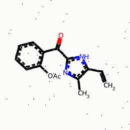 C=Cc1[nH]c(C(=O)c2ccccc2OC(C)=O)nc1C